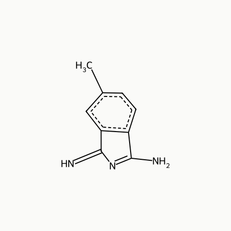 Cc1ccc2c(c1)C(=N)N=C2N